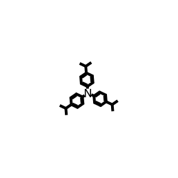 CC(C)c1ccc(N(c2ccc(C(C)C)cc2)c2ccc(C(C)C)cc2)cc1